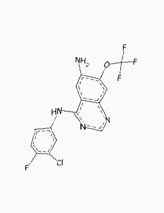 Nc1cc2c(Nc3ccc(F)c(Cl)c3)ncnc2cc1OC(F)(F)F